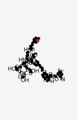 C/N=C/[C@H]1CC(F)(F)CN1C(=O)CNC(=O)c1ccnc2ccc(OCCCCC3CCN(C(=O)[C@H](CC(=O)OC)NC(=O)[C@H](CCCCNC(=O)CCCc4ccc(C)cc4)NC(=O)CN4CCN(CC(=O)O)CCN(CC(=O)O)CCN(CC(=O)O)CC4)CC3)cc12